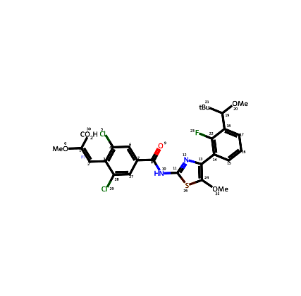 CO/C(=C/c1c(Cl)cc(C(=O)Nc2nc(-c3cccc(C(OC)C(C)(C)C)c3F)c(OC)s2)cc1Cl)C(=O)O